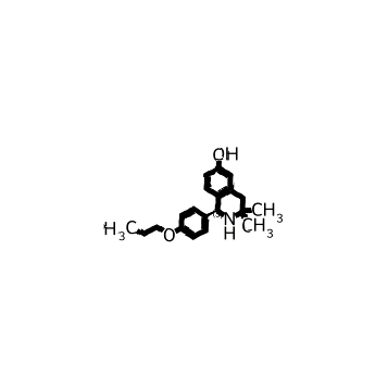 CCCOc1ccc([C@@H]2NC(C)(C)Cc3cc(O)ccc32)cc1